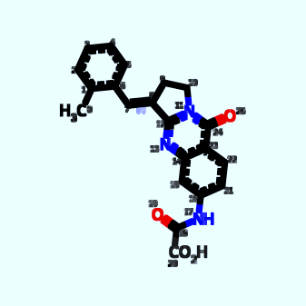 Cc1ccccc1/C=C1\CCn2c1nc1cc(NC(=O)C(=O)O)ccc1c2=O